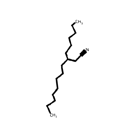 CCCCCCCCC(CC#N)CCCCCC